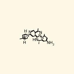 Cc1cc(N)cc([C@@H](C)Nc2nnc(C)c3cnc(N4C[C@H]5CC[C@@H]4CN5C)cc23)n1